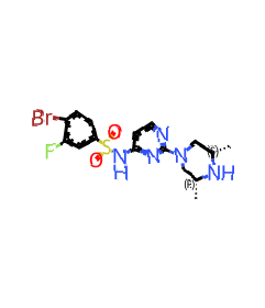 C[C@@H]1CN(c2nccc(NS(=O)(=O)c3ccc(Br)c(F)c3)n2)C[C@H](C)N1